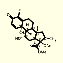 COC(=S)[C@@]1(OC(C)=O)[C@H](C)C[C@H]2[C@@H]3CCC4=C(F)C(=O)C=C[C@]4(C)[C@@]3(F)[C@@H](O)C[C@@]21C